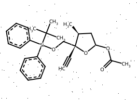 C#C[C@]1(CO[Si](c2ccccc2)(c2ccccc2)C(C)(C)C)OC(OC(C)=O)C[C@@H]1C